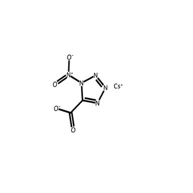 O=C([O-])c1nnnn1[N+](=O)[O-].[Cs+]